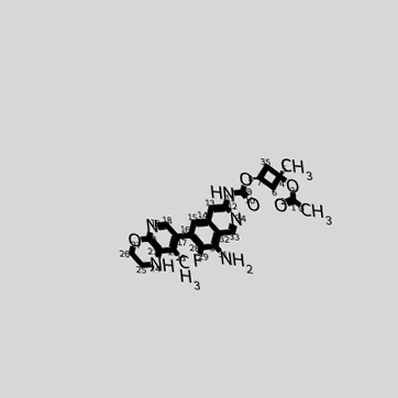 CC(=O)O[C@]1(C)C[C@H](OC(=O)Nc2cc3cc(-c4cnc5c(c4C)NCCO5)c(F)c(N)c3cn2)C1